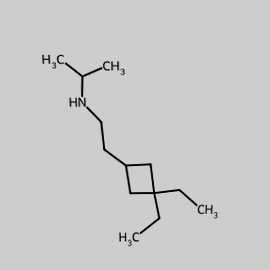 CCC1(CC)CC(CCNC(C)C)C1